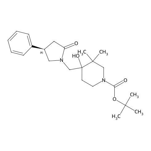 CC(C)(C)OC(=O)N1CCC(O)(CN2C[C@@H](c3ccccc3)CC2=O)C(C)(C)C1